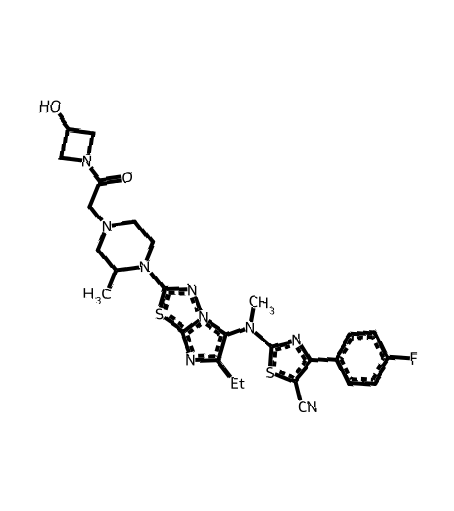 CCc1nc2sc(N3CCN(CC(=O)N4CC(O)C4)CC3C)nn2c1N(C)c1nc(-c2ccc(F)cc2)c(C#N)s1